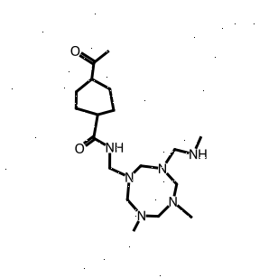 CNCN1CN(C)CN(C)CN(CNC(=O)C2CCC(C(C)=O)CC2)C1